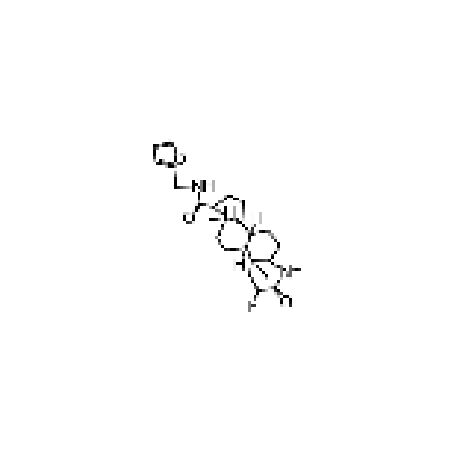 CN1C(=O)C(F)C[C@@]2(C)C1CC[C@@H]1[C@H]2CC[C@]2(C)C(C(=O)NCc3ccco3)CC[C@@H]12